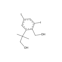 CC(C)(CO)c1cc(I)cc(I)c1CO